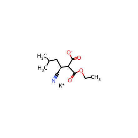 CCOC(=O)C(C(=O)[O-])[C@@H](C#N)CC(C)C.[K+]